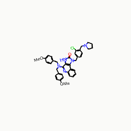 COc1ccc(CN(Cc2ccc(OC)cc2)c2nc3ccccc3c3c2[nH]c(=O)n3Cc2ccc(CN3CCCC3)c(Cl)c2)cc1